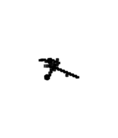 CC#CCOc1ccc(C[C@H](NC(=O)[C@@H](/C=C/CCCCCCC(=O)CCCCCCC)[C@@](O)(CC(=O)O)C(=O)OCOCc2ccccc2)C(=O)OC)cc1